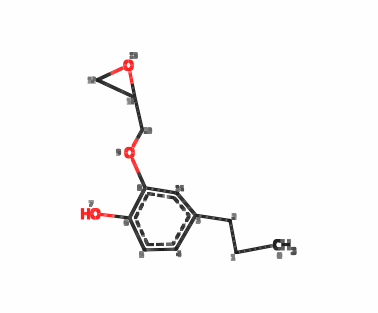 CCCc1ccc(O)c(OCC2CO2)c1